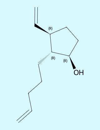 C=CCCC[C@H]1[C@H](O)CC[C@@H]1C=C